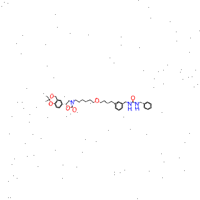 CC1(C)OCc2cc([C@@H]3CN(CCCCCCOCCCCc4cccc(CNC(=O)NCc5ccccc5)c4)C(=O)O3)ccc2O1